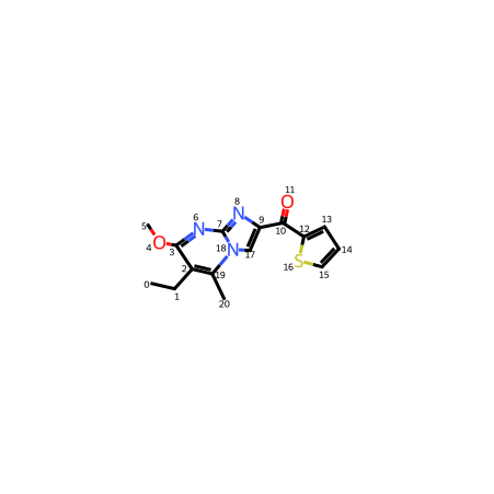 CCc1c(OC)nc2nc(C(=O)c3cccs3)cn2c1C